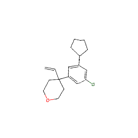 C=CC1(c2cc(Cl)cc(C3CCCC3)c2)CCOCC1